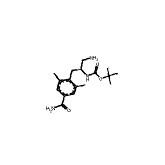 Cc1cc(C(N)=O)cc(C)c1C[C@@H](CN)NC(=O)OC(C)(C)C